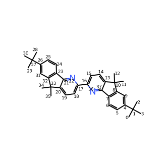 CC(C)(C)c1ccc2c(c1)C(C)(C)c1ccc(-c3ccc4c(n3)-c3ccc(C(C)(C)C)cc3C4(C)C)nc1-2